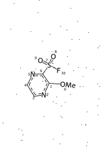 COc1nccnc1S(=O)(=O)F